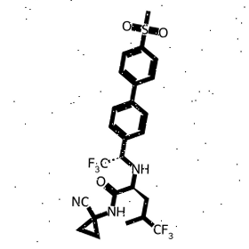 CC(C[C@H](N[C@@H](c1ccc(-c2ccc(S(C)(=O)=O)cc2)cc1)C(F)(F)F)C(=O)NC1(C#N)CC1)C(F)(F)F